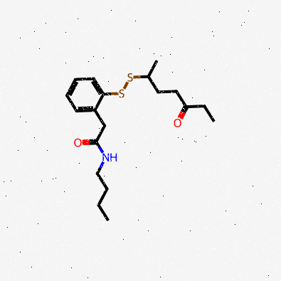 CCCCNC(=O)Cc1ccccc1SSC(C)CCC(=O)CC